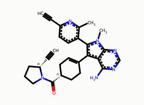 C#Cc1ccc(-c2c(C3=CC[C@@H](C(=O)N4CCC[C@@H]4C#C)CC3)c3c(N)ncnc3n2C)c(C)n1